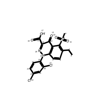 CCc1ccc2c(c1S(C)(=O)=O)c(=O)c(C(=O)O)nn2-c1ccc(Cl)cc1Cl